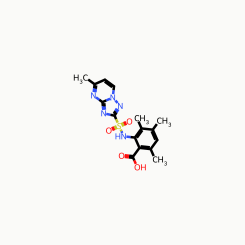 Cc1ccn2nc(S(=O)(=O)Nc3c(C)c(C)cc(C)c3C(=O)O)nc2n1